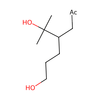 CC(=O)CC(CCCO)C(C)(C)O